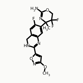 COc1cc(C2=Nc3cc(C4(C)N=C(N)OCC4(F)F)c(F)cc3CN2)on1